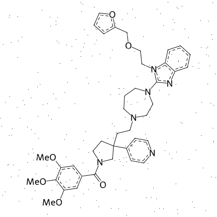 COc1cc(C(=O)N2CCC(CCN3CCCN(c4nc5ccccc5n4CCOCc4ccco4)CC3)(c3ccncc3)C2)cc(OC)c1OC